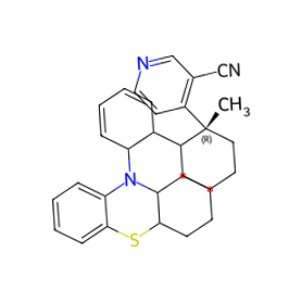 C[C@@]1(c2ccncc2C#N)CCCCC1C1C=CC=CC1N1c2ccccc2SC2CCCCC21